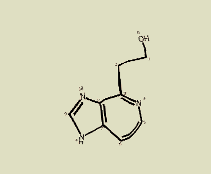 OCCc1nccc2[nH]cnc12